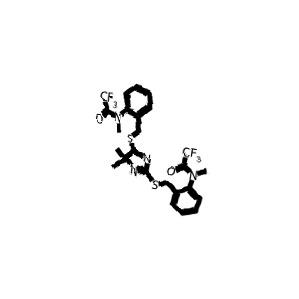 CN(C(=O)C(F)(F)F)c1ccccc1CSC1=NC(C)(C)C(SCc2ccccc2N(C)C(=O)C(F)(F)F)=N1